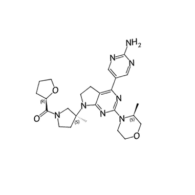 C[C@H]1COCCN1c1nc(-c2cnc(N)nc2)c2c(n1)N([C@@]1(C)CCN(C(=O)[C@H]3CCCO3)C1)CC2